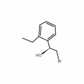 CCc1ccccc1[C@H](O)CBr